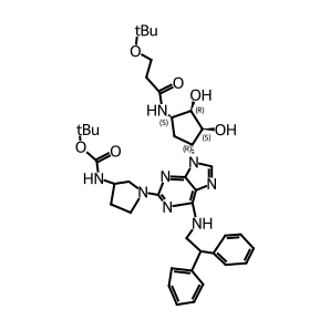 CC(C)(C)OCCC(=O)N[C@H]1C[C@@H](n2cnc3c(NCC(c4ccccc4)c4ccccc4)nc(N4CCC(NC(=O)OC(C)(C)C)C4)nc32)[C@H](O)[C@@H]1O